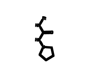 CCNC(=O)NN1CCCC1